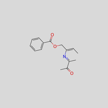 C/C=C(COC(=O)c1ccccc1)\N=C(/C)C(C)=O